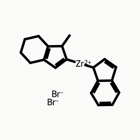 CC1[C]([Zr+2][CH]2C=Cc3ccccc32)=CC2=C1CCCC2.[Br-].[Br-]